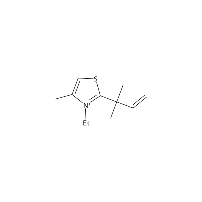 C=CC(C)(C)c1scc(C)[n+]1CC